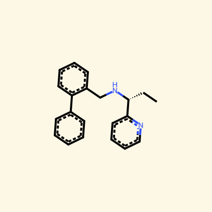 CC[C@@H](NCc1ccccc1-c1ccccc1)c1ccccn1